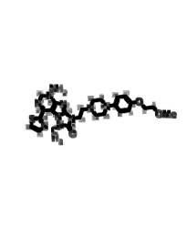 COCCOc1ccc(N2CCN(CCn3c(=O)n(C)n4c5c(nc34)N(N)CN=C5c3nccs3)CC2)cc1